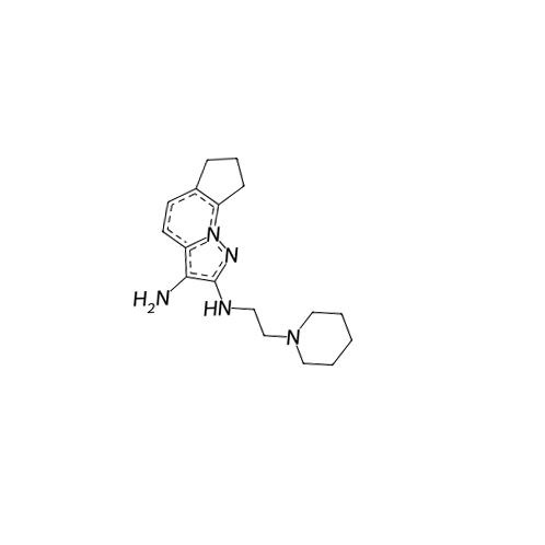 Nc1c(NCCN2CCCCC2)nn2c3c(ccc12)CCC3